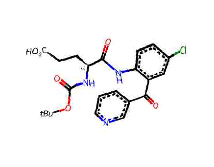 CC(C)(C)OC(=O)N[C@@H](CCC(=O)O)C(=O)Nc1ccc(Cl)cc1C(=O)c1cccnc1